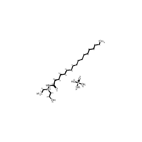 CCCCCCCCCCCCCCCCCC(=O)NN(CC)CCO.O=P(O)(O)O